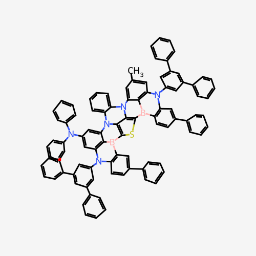 Cc1cc2c3c(c1)N1c4ccccc4N4c5cc(N(c6ccccc6)c6ccccc6)cc6c5B(c5cc(-c7ccccc7)ccc5N6c5cc(-c6ccccc6)cc(-c6ccccc6)c5)c5sc(c1c54)B3c1ccc(-c3ccccc3)cc1N2c1cc(-c2ccccc2)cc(-c2ccccc2)c1